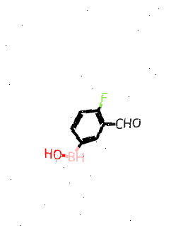 O=Cc1cc(BO)ccc1F